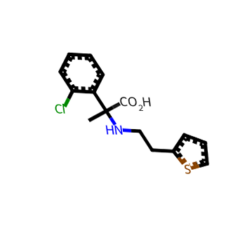 CC(NCCc1cccs1)(C(=O)O)c1ccccc1Cl